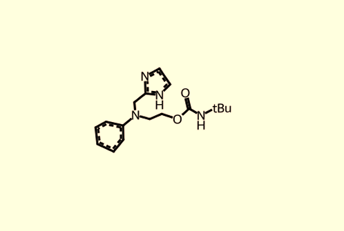 CC(C)(C)NC(=O)OCCN(Cc1ncc[nH]1)c1ccccc1